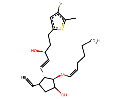 B=C[C@@H]1CC(O)[C@H](O/C=C\CCCC(=O)O)[C@H]1/C=C/[C@@H](O)CCc1cc(Br)c(C)s1